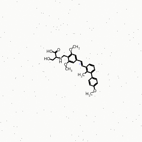 COc1ccc(-c2cccc(/C=C/c3cc(OC)c(CNC(CO)C(=O)O)c(OC)c3)c2C)cc1